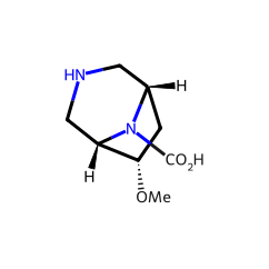 CO[C@H]1C[C@H]2CNC[C@@H]1N2C(=O)O